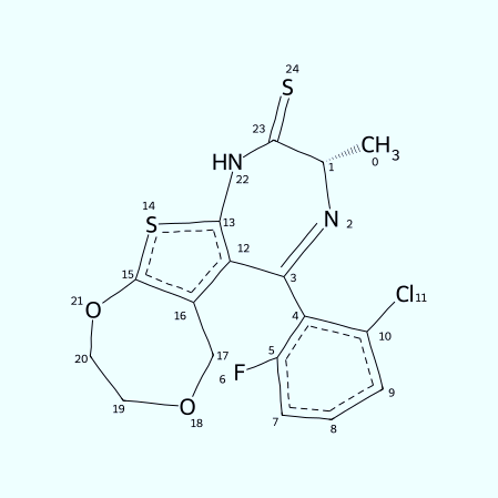 C[C@@H]1N=C(c2c(F)cccc2Cl)c2c(sc3c2COCCO3)NC1=S